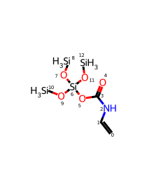 C=CNC(=O)O[Si](O[SiH3])(O[SiH3])O[SiH3]